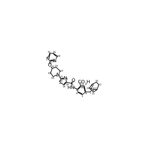 O=C(Nc1ccc(CN2C3CCC2CC3)cc1C(=O)O)c1csc(N2CCC(Oc3ncccn3)CC2)n1